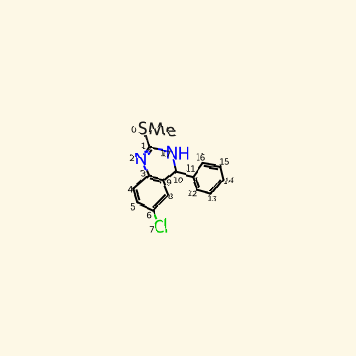 CSC1=Nc2ccc(Cl)cc2C(c2ccccc2)N1